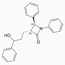 O=C1[C@H](CCC(O)c2ccccc2)[C@@H](c2ccccc2)N1c1ccccc1